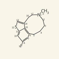 CN1CCCCc2cc(F)cc3scc(c23)CC1